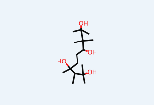 CC(C(C)(C)O)C(C)(O)CCC(O)C(C)(C)C(C)(C)O